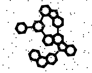 c1ccc(-c2cc(-c3ccccc3)nc(-c3nccc4sc5ccc(-c6ccc7c(c6)c6ccccc6n7-c6ccc7ccc8ccccc8c7c6)cc5c34)n2)cc1